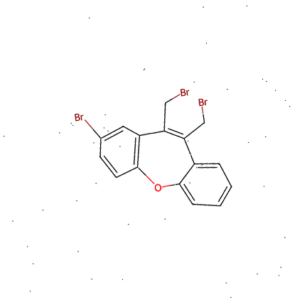 BrCC1=C(CBr)c2cc(Br)ccc2Oc2ccccc21